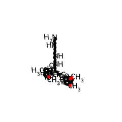 C[C@@H]1CC[C@H]2[C@@H](C)[C@@](C)(OCCCCN(CC(=O)NCCCNCCCCNCCCN)CC3=C(C(F)(F)F)O[C@@H]4O[C@]5(C)CC[C@H]6[C@H](C)CC[C@@H]3[C@@]46O5)O[C@@H]3O[C@]4(C)CC[C@@H]1[C@]32OO4